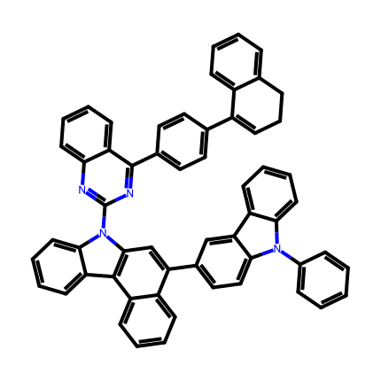 C1=C(c2ccc(-c3nc(-n4c5ccccc5c5c6ccccc6c(-c6ccc7c(c6)c6ccccc6n7-c6ccccc6)cc54)nc4ccccc34)cc2)c2ccccc2CC1